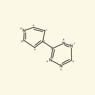 c1cc(-c2nncnn2)ccn1